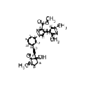 COC(=O)c1nn(-c2cccc(C#C[C@]3(O)CCN(C)C3=O)c2)cc1-c1cn(C)nc1C